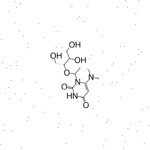 CC(O[C@H](CO)C(O)CO)n1c(N(C)C)cc(=O)[nH]c1=O